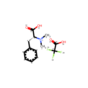 CN(C)[C@H](Cc1ccccc1)C(=O)O.O=C(O)C(F)(F)F